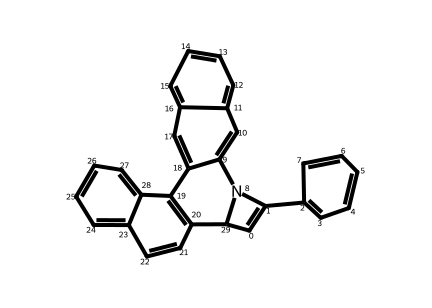 C1=C(c2ccccc2)N2c3cc4ccccc4cc3-c3c(ccc4ccccc34)C12